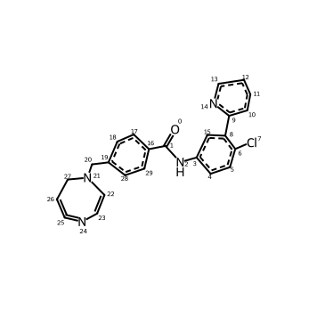 O=C(Nc1ccc(Cl)c(-c2ccccn2)c1)c1ccc(CN2C=CN=C=CC2)cc1